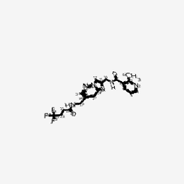 Cc1ncccc1C(=O)NCc1cn2ncc(CNC(=O)CCC(F)(F)F)cc2n1